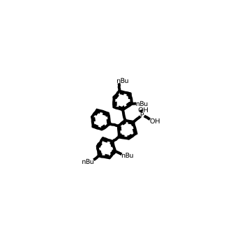 CCCCc1ccc(-c2ccc(P(O)O)c(-c3ccc(CCCC)cc3CCCC)c2-c2ccccc2)c(CCCC)c1